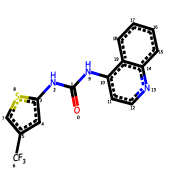 O=C(Nc1cc(C(F)(F)F)cs1)Nc1ccnc2ccccc12